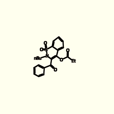 CCCCN1C(C(=O)c2ccccc2)=C(OC(=O)CC)c2ccccc2S1(=O)=O